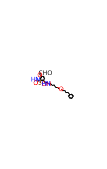 O=COc1ccc([C@@H](O)CNCCCCCCOCCCCc2ccccc2)c2sc(=O)[nH]c12